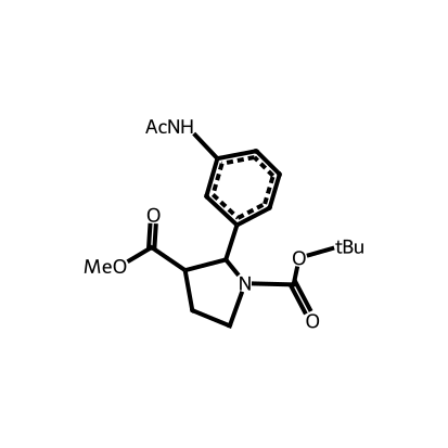 COC(=O)C1CCN(C(=O)OC(C)(C)C)C1c1cccc(NC(C)=O)c1